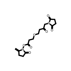 C=C1CCC(=O)N1OC(=O)CCOCCC(=O)CN1C(=O)CCC1=O